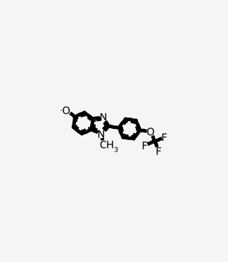 Cn1c(-c2ccc(OC(F)(F)F)cc2)nc2cc([O])ccc21